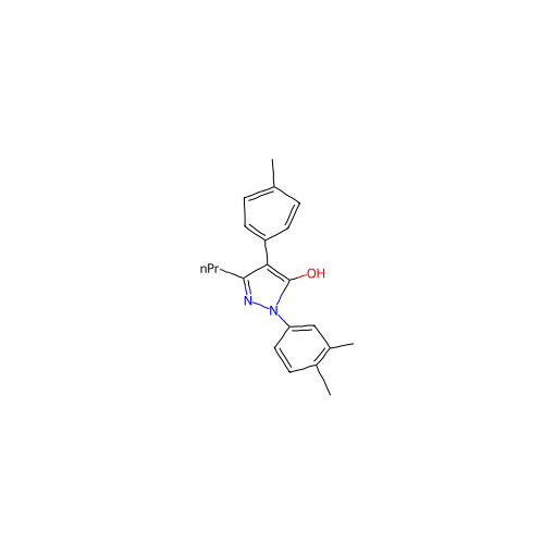 CCCc1nn(-c2ccc(C)c(C)c2)c(O)c1-c1ccc(C)cc1